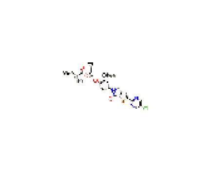 CN[C@H](C(=O)O[C@@H](COc1ccc(N2Cc3cc(-c4ncc(Cl)cn4)sc3C2=O)cc1OC)C1CC1)C(C)C